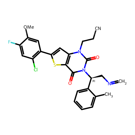 C=NC[C@@H](c1ccccc1C)n1c(=O)c2sc(-c3cc(OC)c(F)cc3Cl)cc2n(CCC#N)c1=O